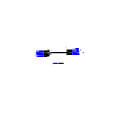 CC(N)=O.N#CC#N